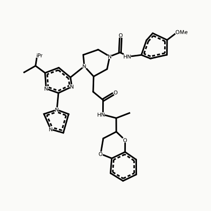 COc1ccc(NC(=O)N2CCN(c3cc(C(C)C(C)C)nc(-n4ccnc4)n3)C(CC(=O)NC(C)C3COc4ccccc4O3)C2)cc1